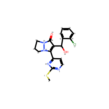 CSc1nccc(-c2c(C(O)c3ccccc3Cl)c(=O)n3n2CCC3)n1